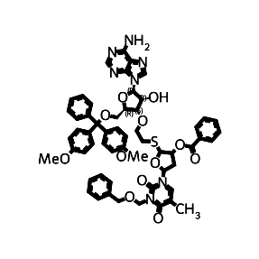 COc1ccc(C(OC[C@H]2O[C@@H](n3cnc4c(N)ncnc43)[C@H](O)[C@@H]2OCCSC2OC(n3cc(C)c(=O)n(COCc4ccccc4)c3=O)CC2OC(=O)c2ccccc2)(c2ccccc2)c2ccc(OC)cc2)cc1